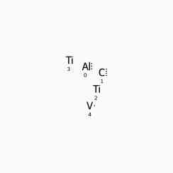 [Al].[C].[Ti].[Ti].[V]